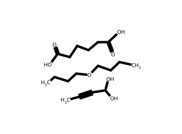 CC#CC(O)O.CCCCOCCCC.O=C(O)CCCCC(=O)O